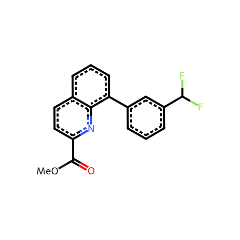 COC(=O)c1ccc2cccc(-c3cccc(C(F)F)c3)c2n1